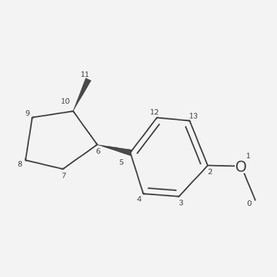 COc1ccc([C@H]2CCC[C@H]2C)cc1